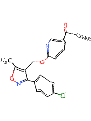 COC(=O)c1ccc(OCc2c(-c3ccc(Cl)cc3)noc2C)nc1